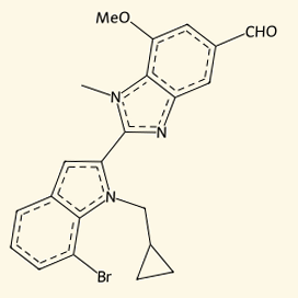 COc1cc(C=O)cc2nc(-c3cc4cccc(Br)c4n3CC3CC3)n(C)c12